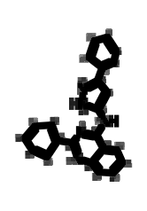 c1ccc(-c2cc(Nc3nc(-c4ccccc4)nc4ccccc34)[nH]n2)cc1